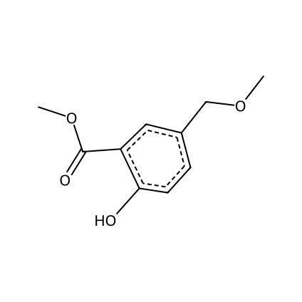 COCc1ccc(O)c(C(=O)OC)c1